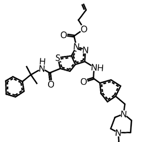 C=CCOC(=O)n1nc(NC(=O)c2ccc(CN3CCN(C)CC3)cc2)c2cc(C(=O)NC(C)(C)c3ccccc3)sc21